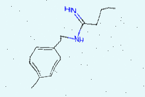 CCCC(=N)NCc1ccc(C)cc1